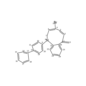 C=C1/C=C\C(Br)=C/CN(c2ccc(-c3ccccc3)cc2)c2ccccc21